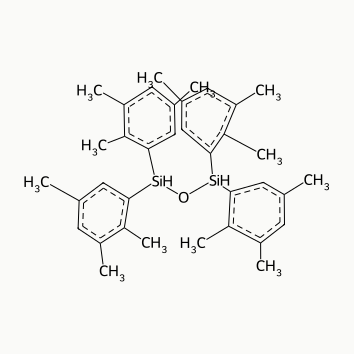 Cc1cc(C)c(C)c([SiH](O[SiH](c2cc(C)cc(C)c2C)c2cc(C)cc(C)c2C)c2cc(C)cc(C)c2C)c1